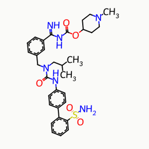 CC(C)CN(Cc1cccc(C(=N)NC(=O)OC2CCN(C)CC2)c1)C(=O)Nc1ccc(-c2ccccc2S(N)(=O)=O)cc1